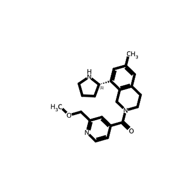 COCc1cc(C(=O)N2CCc3cc(C)cc([C@@H]4CCCN4)c3C2)ccn1